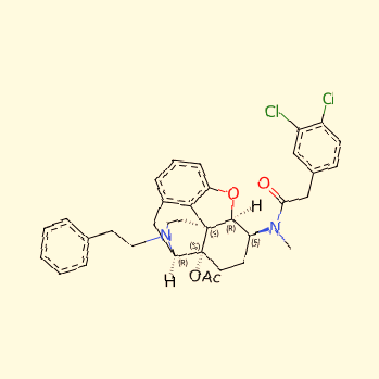 CC(=O)O[C@@]12CC[C@H](N(C)C(=O)Cc3ccc(Cl)c(Cl)c3)[C@@H]3Oc4cccc5c4[C@@]31CCN(CCc1ccccc1)[C@@H]2C5